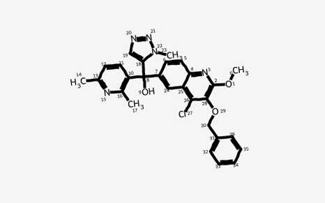 COc1nc2ccc(C(O)(c3ccc(C)nc3C)c3cnnn3C)cc2c(Cl)c1OCc1ccccc1